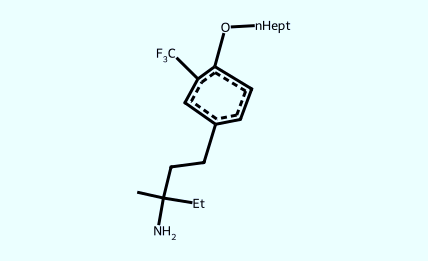 CCCCCCCOc1ccc(CCC(C)(N)CC)cc1C(F)(F)F